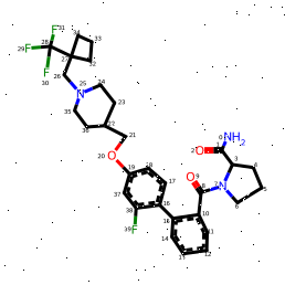 NC(=O)C1CCCN1C(=O)c1ccccc1-c1ccc(OCC2CCN(CC3(C(F)(F)F)CCC3)CC2)cc1F